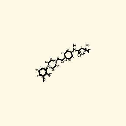 O=C(CC(F)(F)F)NC1CCC(CCN2CCN(c3cccc(F)c3F)CC2)CC1